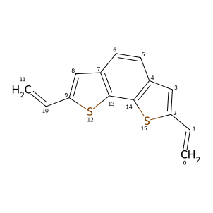 C=Cc1cc2ccc3cc(C=C)sc3c2s1